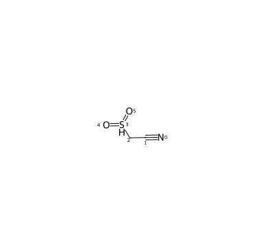 N#CC[SH](=O)=O